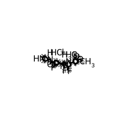 COc1ccc(C2CC(C(F)F)n3nc(-c4ccc(C(=O)NC5CCNCC5)c(F)c4)cc3N2)cc1OC.Cl